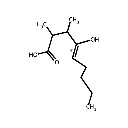 CCCC/C=C(\O)C(C)C(C)C(=O)O